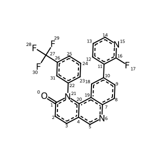 O=c1ccc2cnc3ccc(-c4cccnc4F)cc3c2n1-c1cccc(C(F)(F)F)c1